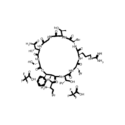 CC[C@H](C)[C@@H]1NC(=O)[C@@H](CCCNC(=N)N)NC(=O)[C@H](CC(C)C)NC(=O)[C@H]([C@H](O)C(C)C)NC(=O)[C@@H](NC(=O)[C@@H](N)CC(C)C)[C@@H](c2ccccc2)OC(=O)[C@H](CO)NC(=O)[C@H]([C@H](O)C(N)=O)NC(=O)CNC(=O)[C@H]([C@H](C)O)NC1=O.O=C(O)C(F)(F)F.O=C(O)C(F)(F)F